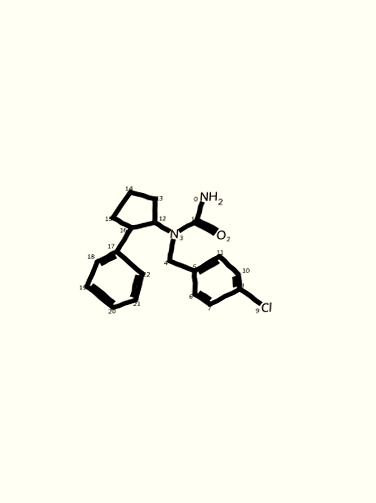 NC(=O)N(Cc1ccc(Cl)cc1)C1CCCC1c1ccccc1